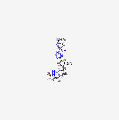 CC(=O)Nc1ccc(Nc2ncnc(-c3ccc(O[C@H]4CCN(C(=O)[C@@H]5CCC(=O)N5)C[C@H]4F)c(C#N)c3)n2)cn1